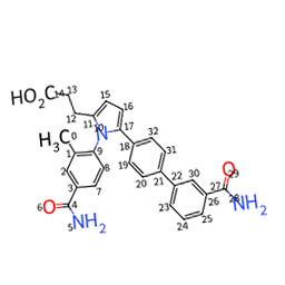 Cc1cc(C(N)=O)ccc1-n1c(CCC(=O)O)ccc1-c1ccc(-c2cccc(C(N)=O)c2)cc1